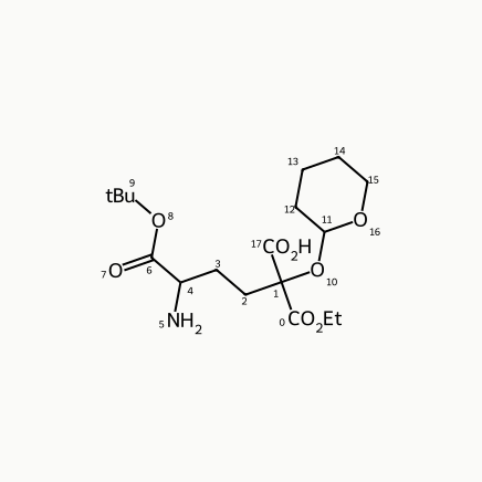 CCOC(=O)C(CCC(N)C(=O)OC(C)(C)C)(OC1CCCCO1)C(=O)O